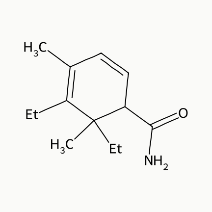 CCC1=C(C)C=CC(C(N)=O)C1(C)CC